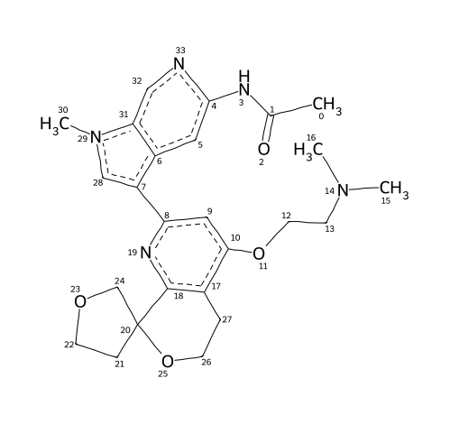 CC(=O)Nc1cc2c(-c3cc(OCCN(C)C)c4c(n3)C3(CCOC3)OCC4)cn(C)c2cn1